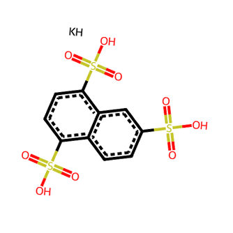 O=S(=O)(O)c1ccc2c(S(=O)(=O)O)ccc(S(=O)(=O)O)c2c1.[KH]